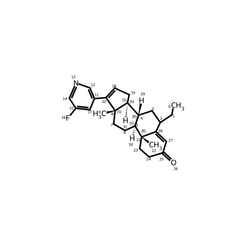 CCC1C[C@@H]2[C@H](CC[C@]3(C)C(c4cncc(F)c4)=CC[C@@H]23)[C@@]2(C)CCC(=O)C=C12